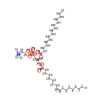 CCCCCCCC/C=C\CCCCCCCC(=O)OC[C@H](COP(=O)([O-])OCC[N+](C)(C)C)OC(=O)CCCCCCCCCCCCCCC